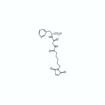 O=C(CCCCCN1C(=O)C=CC1=O)NCC(=O)NC(Cc1ccccc1)C(=O)O